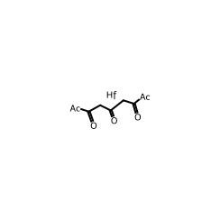 CC(=O)C(=O)CC(=O)CC(=O)C(C)=O.[Hf]